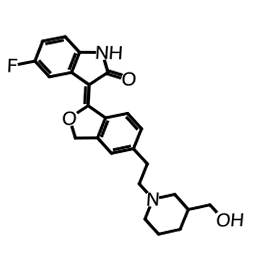 O=C1Nc2ccc(F)cc2C1=C1OCc2cc(CCN3CCCC(CO)C3)ccc21